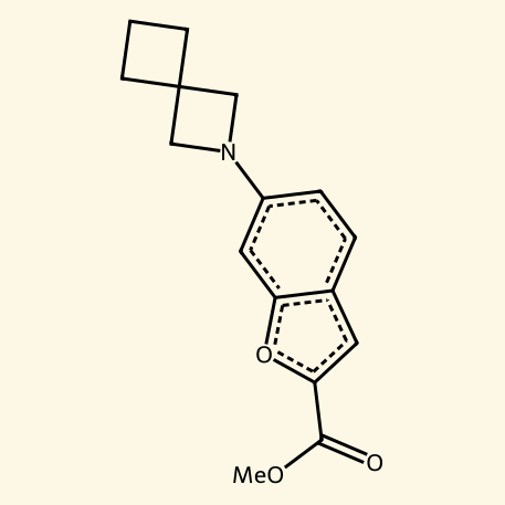 COC(=O)c1cc2ccc(N3CC4(CCC4)C3)cc2o1